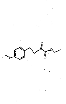 CCOC(=O)C(=O)CCc1ccc(SC)cc1